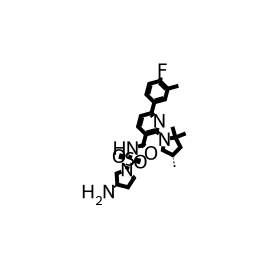 Cc1cc(-c2ccc(C(=O)NS(=O)(=O)N3CC[C@H](N)C3)c(N3C[C@@H](C)CC3(C)C)n2)ccc1F